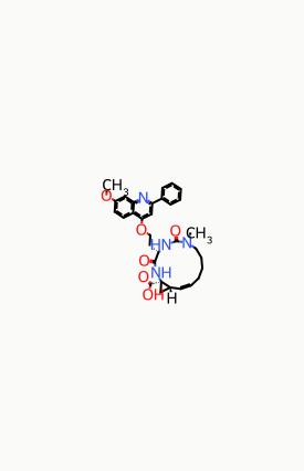 COc1ccc2c(OCC[C@@H]3NC(=O)N(C)CCCC/C=C\[C@@H]4C[C@@]4(C(=O)O)NC3=O)cc(-c3ccccc3)nc2c1